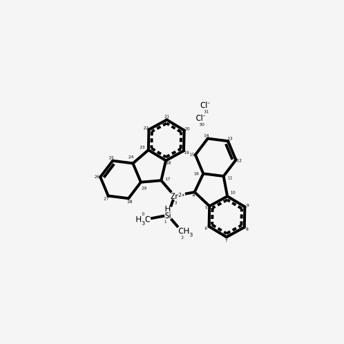 C[SiH](C)[Zr+2]([CH]1c2ccccc2C2C=CCCC21)[CH]1c2ccccc2C2C=CCCC21.[Cl-].[Cl-]